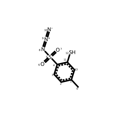 Cc1ccc(S(=O)(=O)N=[N+]=[N-])c(S)c1